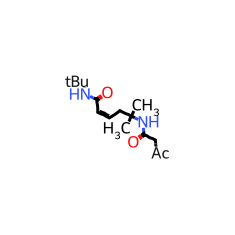 CC(=O)CC(=O)NC(C)(C)C/C=C\C(=O)NC(C)(C)C